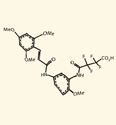 COc1cc(OC)c(/C=C/C(=O)Nc2ccc(OC)c(NC(=O)C(F)(F)C(F)(F)C(=O)O)c2)c(OC)c1